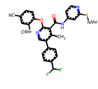 CNSc1cc(NC(=O)c2c(Oc3ccc(C#N)cc3OC)ncc(-c3ccc(C(F)F)cc3)c2C)ccn1